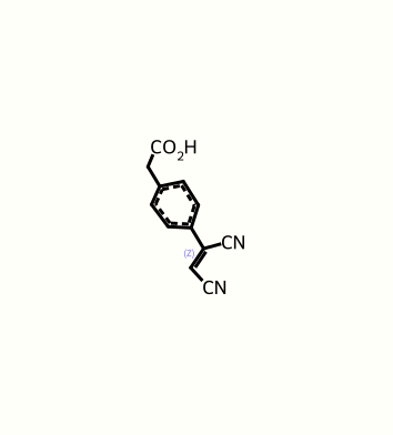 N#C/C=C(\C#N)c1ccc(CC(=O)O)cc1